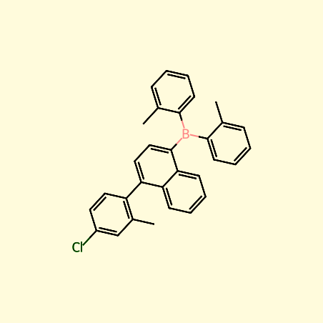 Cc1ccccc1B(c1ccccc1C)c1ccc(-c2ccc(Cl)cc2C)c2ccccc12